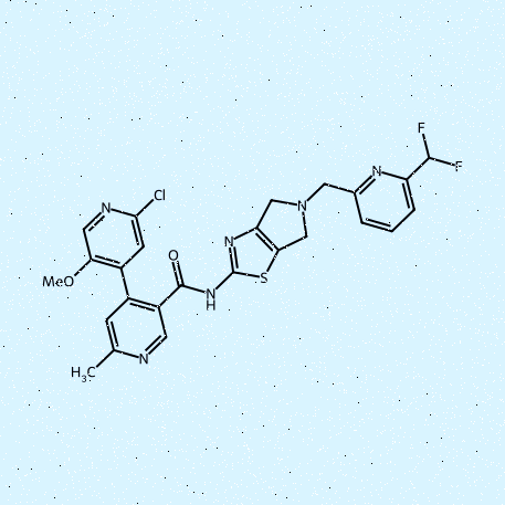 COc1cnc(Cl)cc1-c1cc(C)ncc1C(=O)Nc1nc2c(s1)CN(Cc1cccc(C(F)F)n1)C2